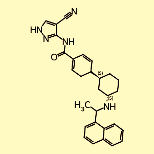 CC(N[C@H]1CCC[C@H](C2C=CC(C(=O)Nc3n[nH]cc3C#N)=CC2)C1)c1cccc2ccccc12